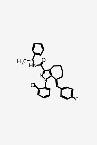 C[C@H](NC(=O)c1nn(-c2ccccc2Cl)c2c1CCCC/C2=C\c1ccc(Cl)cc1)c1ccccc1